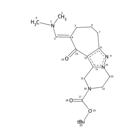 CN(C)C=C1CCCc2nn3c(c2C1=O)CN(C(=O)OC(C)(C)C)CC3